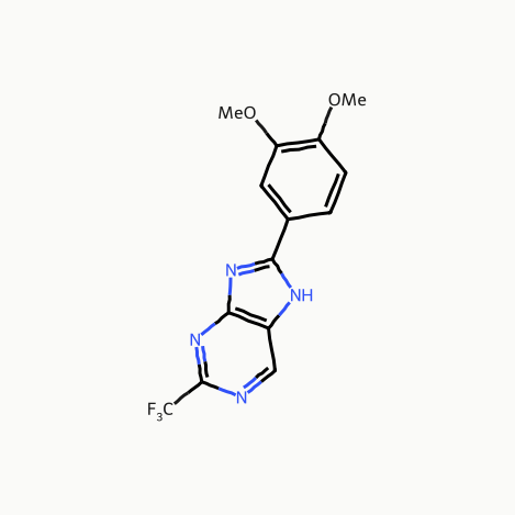 COc1ccc(-c2nc3nc(C(F)(F)F)ncc3[nH]2)cc1OC